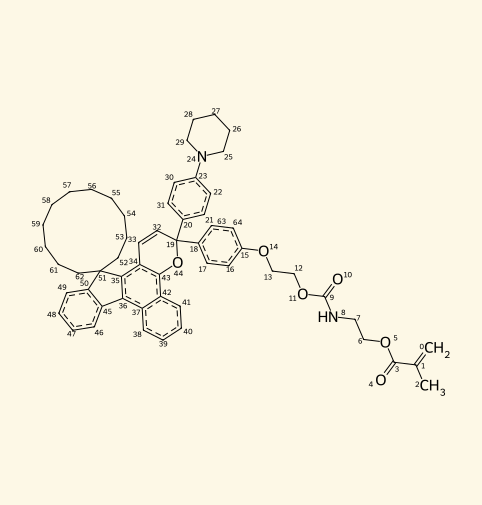 C=C(C)C(=O)OCCNC(=O)OCCOc1ccc(C2(c3ccc(N4CCCCC4)cc3)C=Cc3c4c(c5ccccc5c3O2)-c2ccccc2C42CCCCCCCCCCC2)cc1